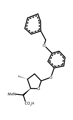 CNC(C(=O)O)[C@@H]1OC(Oc2cccc(OCc3ccccc3)c2)C[C@H]1C